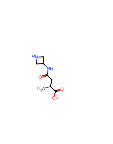 N[C@@H](CC(=O)NC1CNC1)C(=O)O